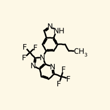 CCCc1cc(-n2c(C(F)(F)F)nc3ccc(C(F)(F)F)nc32)cc2cn[nH]c12